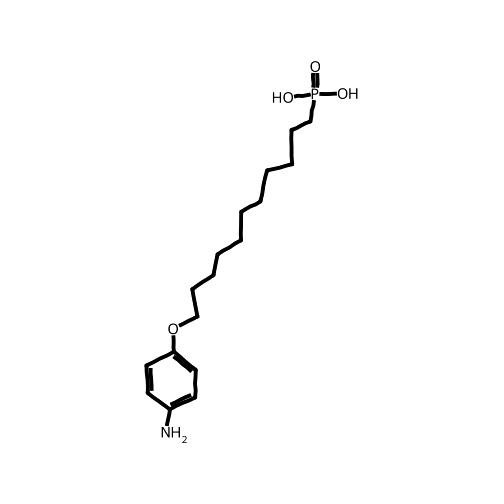 Nc1ccc(OCCCCCCCCCCCP(=O)(O)O)cc1